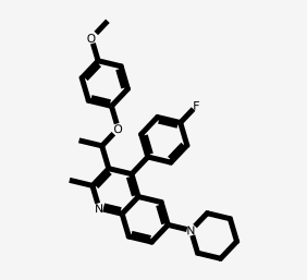 COc1ccc(OC(C)c2c(C)nc3ccc(N4CCCCC4)cc3c2-c2ccc(F)cc2)cc1